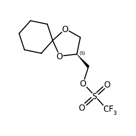 O=S(=O)(OC[C@@H]1COC2(CCCCC2)O1)C(F)(F)F